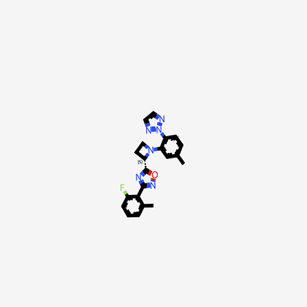 Cc1c[c]c(-n2nccn2)c(N2CC[C@H]2c2nc(-c3c(C)cccc3F)no2)c1